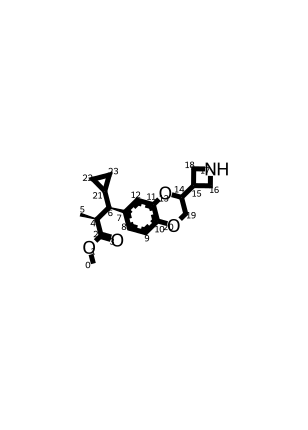 COC(=O)[C@@H](C)[C@H](c1ccc2c(c1)OC(C1CNC1)CO2)C1CC1